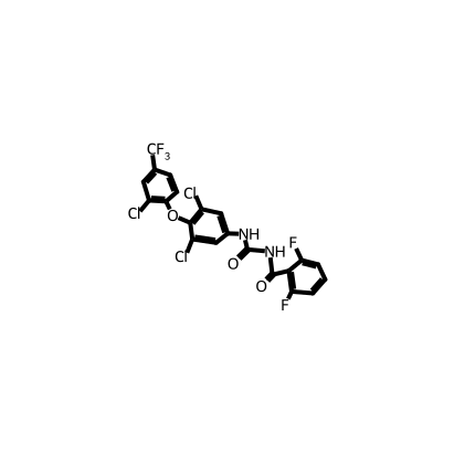 O=C(NC(=O)c1c(F)cccc1F)Nc1cc(Cl)c(Oc2ccc(C(F)(F)F)cc2Cl)c(Cl)c1